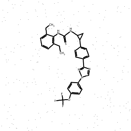 CCc1cccc(CC)c1NC(=S)NC1CC1c1ccc(-c2ncn(-c3ccc(OC(F)(F)F)cc3)n2)cc1